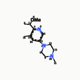 COC(C)c1ncc(N2CCN(C)CC2)cc1C